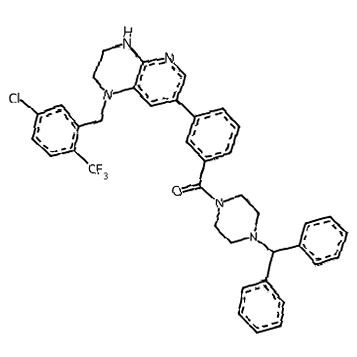 O=C(c1cccc(-c2cnc3c(c2)N(Cc2cc(Cl)ccc2C(F)(F)F)CCN3)c1)N1CCN(C(c2ccccc2)c2ccccc2)CC1